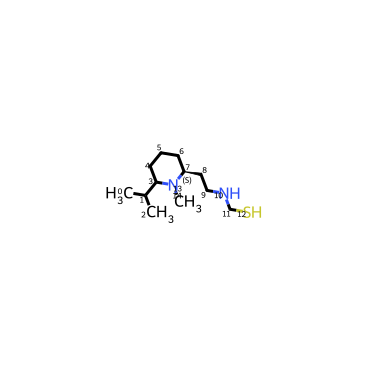 CC(C)C1CCC[C@@H](CCNCS)N1C